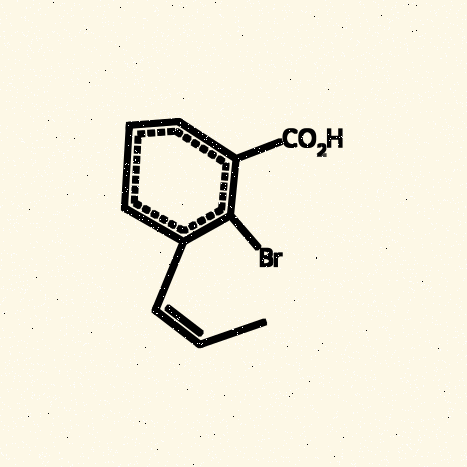 C/C=C\c1cccc(C(=O)O)c1Br